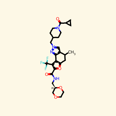 CC1Cc2oc(C(=O)NC[C@@H]3COCCO3)c(C(F)(F)F)c2-c2nn(CC3CCN(C(=O)C4CC4)CC3)cc21